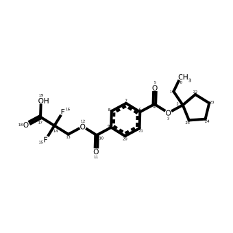 CCC1(OC(=O)c2ccc(C(=O)OCC(F)(F)C(=O)O)cc2)CCCC1